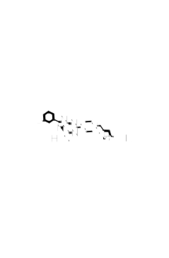 Cc1cc(CN2CCN(c3nc(N)n4nc(-c5cccc(F)c5)nc4n3)CC2)no1